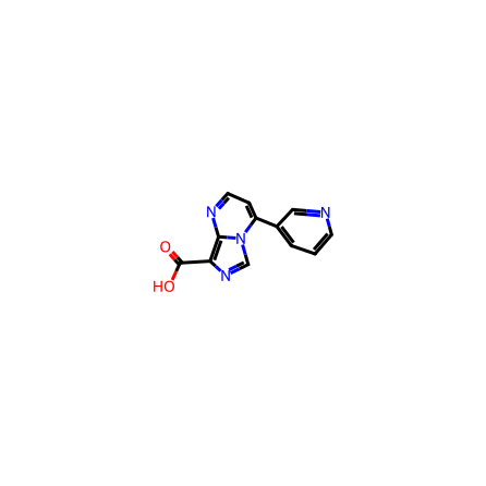 O=C(O)c1ncn2c(-c3cccnc3)ccnc12